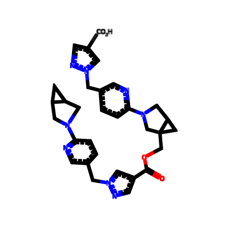 O=C(O)c1cnn(Cc2ccc(N3CC4CC4(COC(=O)c4cnn(Cc5ccc(N6CC7CC7C6)nc5)c4)C3)nc2)c1